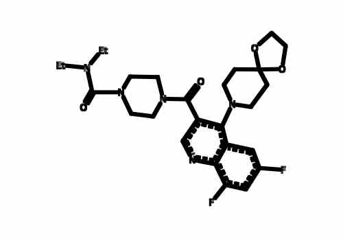 CCN(CC)C(=O)N1CCN(C(=O)c2cnc3c(F)cc(F)cc3c2N2CCC3(CC2)OCCO3)CC1